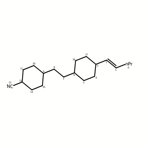 CCCC=CC1CCC(CCC2CCC(C#N)CC2)CC1